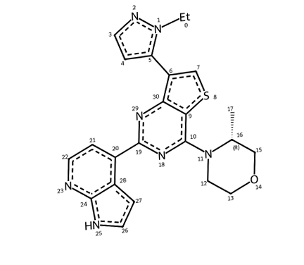 CCn1nccc1-c1csc2c(N3CCOC[C@H]3C)nc(-c3ccnc4[nH]ccc34)nc12